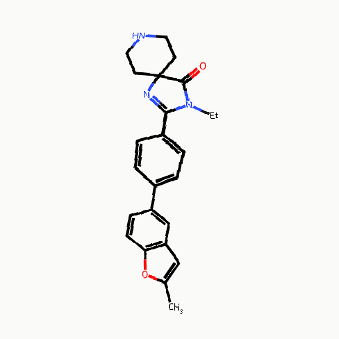 CCN1C(=O)C2(CCNCC2)N=C1c1ccc(-c2ccc3oc(C)cc3c2)cc1